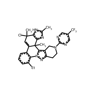 CCc1cccc2c1-n1nc3c(c1C1(C)C2=CC(C)(Cl)c2[nH]c(C)nc21)CN(c1ncc(C(F)(F)F)cn1)CC3